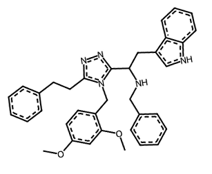 COc1ccc(Cn2c(CCc3ccccc3)nnc2C(Cc2c[nH]c3ccccc23)NCc2ccccc2)c(OC)c1